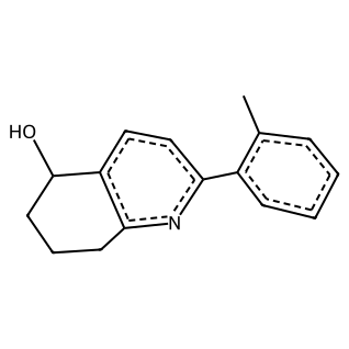 Cc1ccccc1-c1ccc2c(n1)CCCC2O